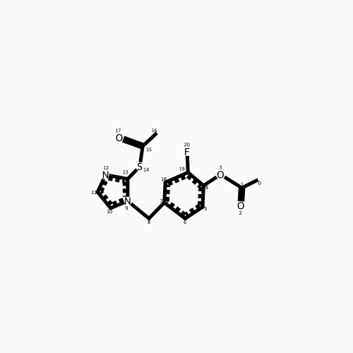 CC(=O)Oc1ccc(Cn2ccnc2SC(C)=O)cc1F